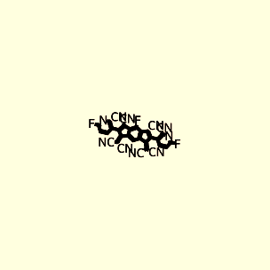 N#CC(C#N)=C1C(c2ccc(F)nc2C#N)=C(C#N)c2c1cc1c(c2F)C(C#N)=C(c2ccc(F)nc2C#N)C1=C(C#N)C#N